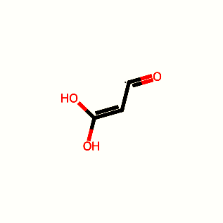 O=[C]C=C(O)O